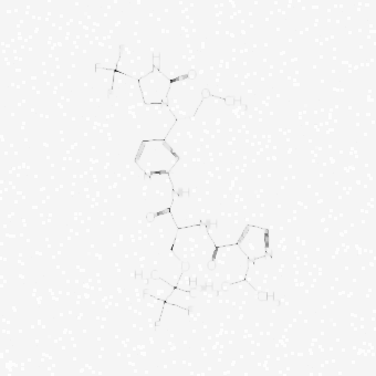 COC[C@H](c1ccnc(NC(=O)[C@H](COC(C)(C)C(F)(F)F)NC(=O)c2ccnn2C(C)C)c1)N1C[C@@H](C(F)(F)F)NC1=O